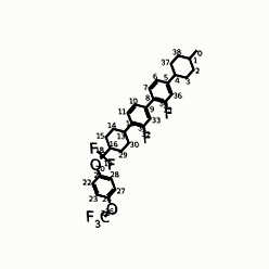 CC1CCC(c2ccc(-c3ccc(C4CCC(C(F)(F)Oc5ccc(OC(F)(F)F)cc5)CC4)c(F)c3)c(F)c2)CC1